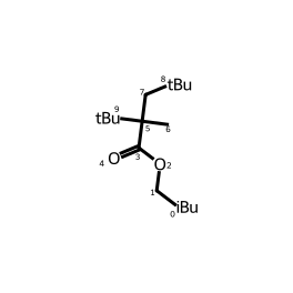 CCC(C)COC(=O)C(C)(CC(C)(C)C)C(C)(C)C